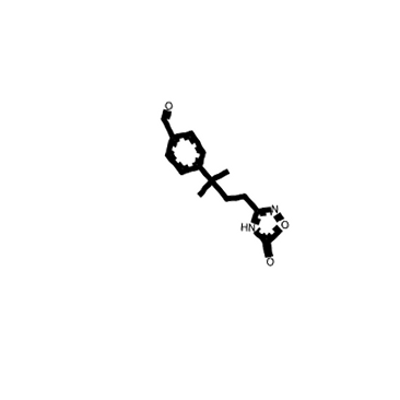 CC(C)(CCc1noc(=O)[nH]1)c1ccc(C=O)cc1